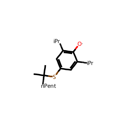 CCCCCC(C)(C)Sc1cc(C(C)C)c([O])c(C(C)C)c1